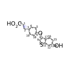 O=C(O)/C=C/c1ccc(Oc2csc3cc(O)ccc23)cc1